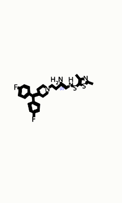 Cc1nc(C)c(SN/C=C(\N)CCN2CCC(=C(c3ccc(F)cc3)c3ccc(F)cc3)CC2)s1